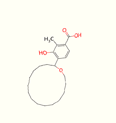 Cc1c(C(=O)O)ccc(C2CCCCCCCCCCCCCCO2)c1O